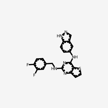 Fc1ccc(CNc2nc(Nc3ccc4[nH]ncc4c3)c3sccc3n2)cc1F